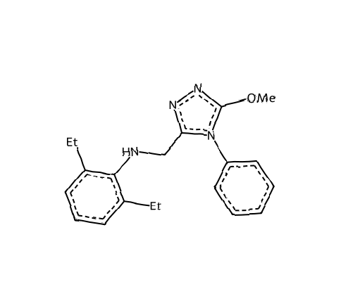 CCc1cccc(CC)c1NCc1nnc(OC)n1-c1ccccc1